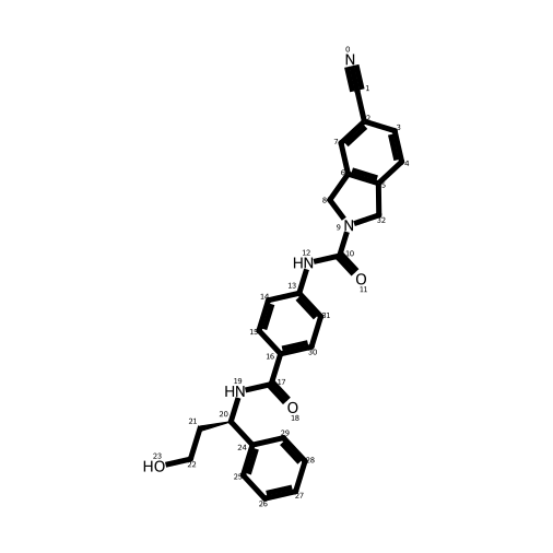 N#Cc1ccc2c(c1)CN(C(=O)Nc1ccc(C(=O)N[C@H](CCO)c3ccccc3)cc1)C2